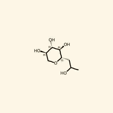 CC(O)C[C@@H]1OC[C@@H](O)[C@H](O)[C@H]1O